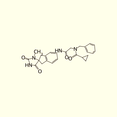 CN1C(=O)NC(=O)C12Cc1ccc(NC(=O)CN(Cc3ccccc3)C(=O)C3CC3)cc1C2